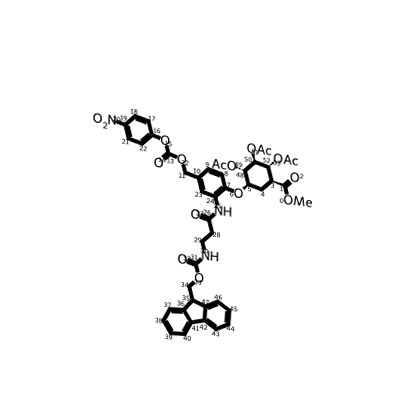 COC(=O)[C@H]1C[C@@H](Oc2ccc(COC(=O)Oc3ccc([N+](=O)[O-])cc3)cc2NC(=O)CCNC(=O)OCC2c3ccccc3-c3ccccc32)[C@H](OC(C)=O)[C@@H](OC(C)=O)[C@@H]1OC(C)=O